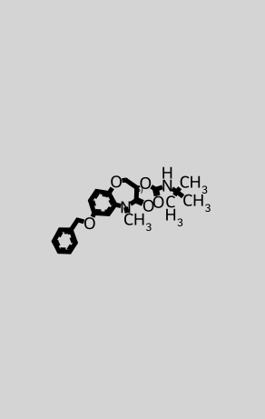 CN1C(=O)[C@@H](OC(=O)NC(C)(C)C)COc2ccc(OCc3ccccc3)cc21